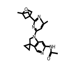 CC(=O)Nc1cc2c(cn1)C1(CC1)CN2c1cc(C)nc(C23COC(C)(C2)C3)n1